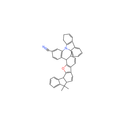 CC1C=Cc2c(oc3c2C=CC2C3c3ccccc3C2(C)C)C1c1ccc(C#N)cc1-n1c2c(c3ccccc31)C=CCC2